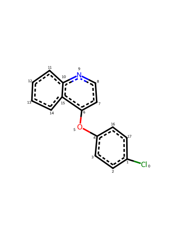 Clc1ccc(Oc2ccnc3ccccc23)cc1